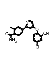 Cc1cc(-c2cc(Oc3ccc(Cl)cc3C#N)ccn2)ccc1C(N)=O